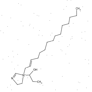 CCCCCCCCCCCCC=CC[N+]1(C(O)CC)C=NCC1